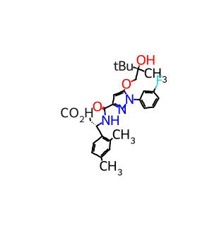 Cc1ccc([C@H](CC(=O)O)NC(=O)c2cc(OC[C@@](C)(O)C(C)(C)C)n(-c3cccc(F)c3)n2)c(C)c1